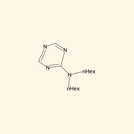 CCCCCCN(CCCCCC)c1ncncn1